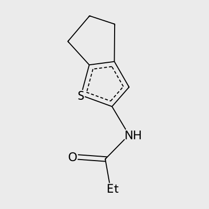 CCC(=O)Nc1cc2c(s1)CCC2